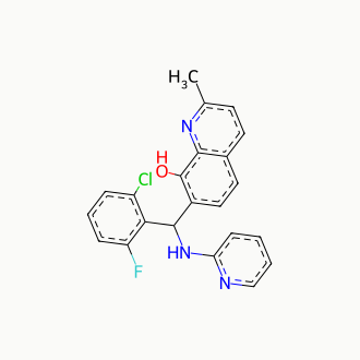 Cc1ccc2ccc(C(Nc3ccccn3)c3c(F)cccc3Cl)c(O)c2n1